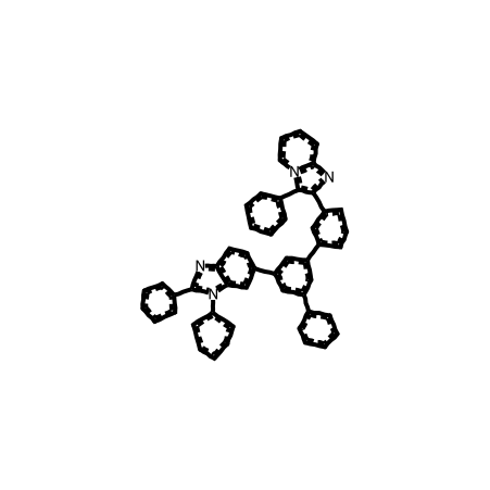 c1ccc(-c2cc(-c3cccc(-c4nc5ccccn5c4-c4ccccc4)c3)cc(-c3ccc4nc(-c5ccccc5)n(-c5ccccc5)c4c3)c2)cc1